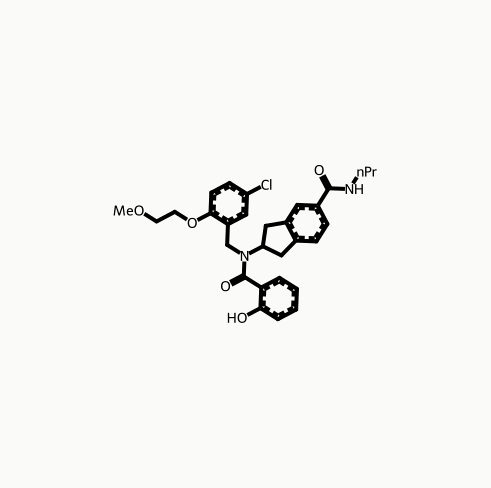 CCCNC(=O)c1ccc2c(c1)CC(N(Cc1cc(Cl)ccc1OCCOC)C(=O)c1ccccc1O)C2